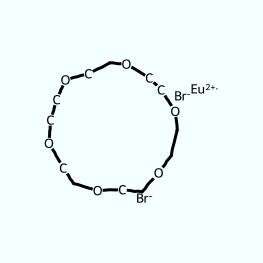 C1COCCOCCOCCOCCOCCO1.[Br-].[Br-].[Eu+2]